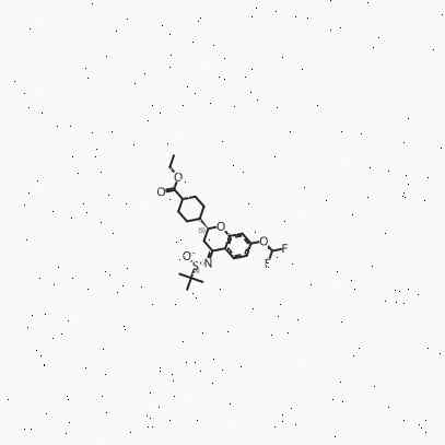 CCOC(=O)C1CCC([C@@H]2CC(=N[S@+]([O-])C(C)(C)C)c3ccc(OC(F)F)cc3O2)CC1